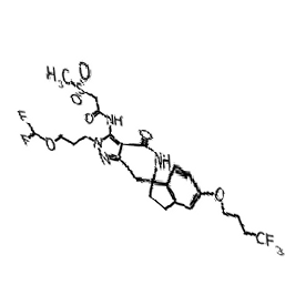 CS(=O)(=O)CC(=O)Nc1c2c(nn1CCCOC(F)F)C[C@@]1(CCc3cc(OCCCC(F)(F)F)ccc31)NC2=O